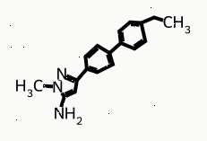 CCc1ccc(-c2ccc(-c3cc(N)n(C)n3)cc2)cc1